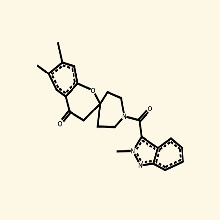 Cc1cc2c(cc1C)C(=O)CC1(CCN(C(=O)c3c4ccccc4nn3C)CC1)O2